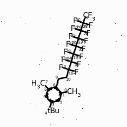 Cc1cc(C(C)(C)C)cc(C)c1CCC(F)(F)C(F)(F)C(F)(F)C(F)(F)C(F)(F)C(F)(F)C(F)(F)C(F)(F)F